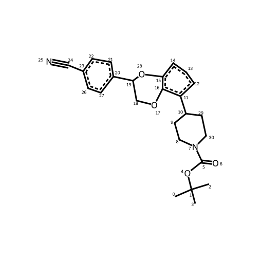 CC(C)(C)OC(=O)N1CCC(c2cccc3c2OCC(c2ccc(C#N)cc2)O3)CC1